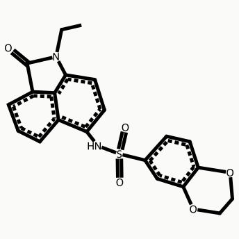 CCN1C(=O)c2cccc3c(NS(=O)(=O)c4ccc5c(c4)OCCO5)ccc1c23